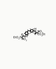 CCOC(=O)C(C(=O)Nc1ccc(Cc2ccc(NC(=O)C(C(=O)OCC)[N+](=O)[O-])cc2)cc1)[N+](=O)[O-]